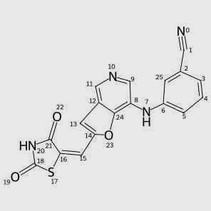 N#Cc1cccc(Nc2cncc3cc(/C=C4/SC(=O)NC4=O)oc23)c1